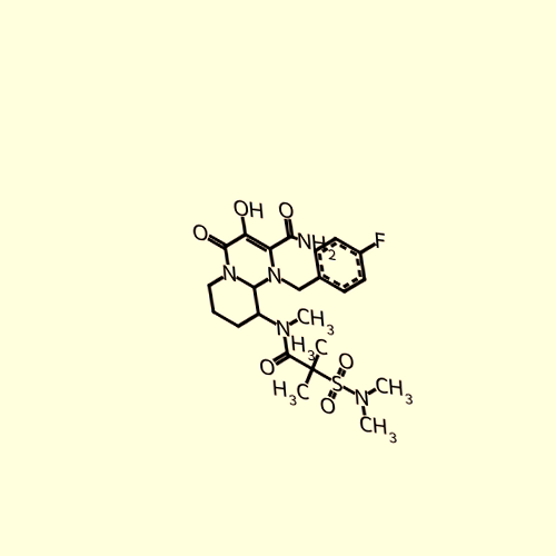 CN(C(=O)C(C)(C)S(=O)(=O)N(C)C)C1CCCN2C(=O)C(O)=C(C(N)=O)N(Cc3ccc(F)cc3)C12